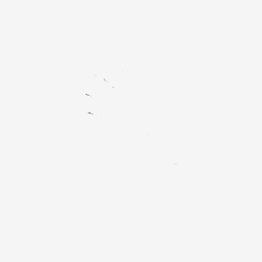 CC1=CC[C@@H]2[C@@H](C)[C@](O)(C(F)(F)F)CC[C@@]2(C)[C@@H]1CC=C1C(=O)OCC1O